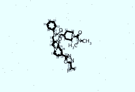 CN(C)C(=O)N1CCC(S(=O)(=O)N(Cc2cn3ccc(-c4nnc(C(F)F)o4)cc3n2)c2ccccc2)CC1